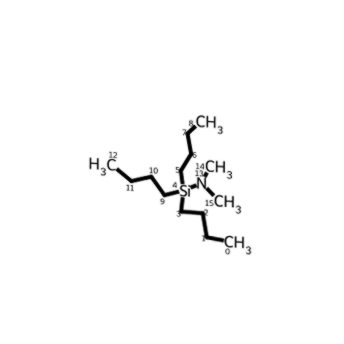 CCCC[Si](CCCC)(CCCC)N(C)C